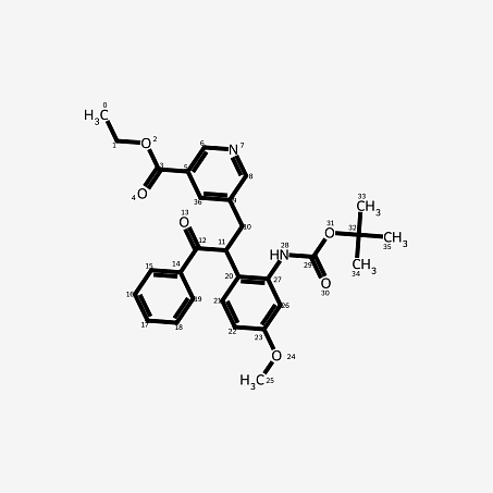 CCOC(=O)c1cncc(CC(C(=O)c2ccccc2)c2ccc(OC)cc2NC(=O)OC(C)(C)C)c1